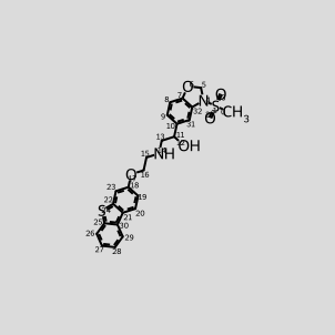 CS(=O)(=O)N1COc2ccc(C(O)CNCCOc3ccc4c(c3)sc3ccccc34)cc21